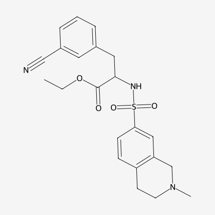 CCOC(=O)C(Cc1cccc(C#N)c1)NS(=O)(=O)c1ccc2c(c1)CN(C)CC2